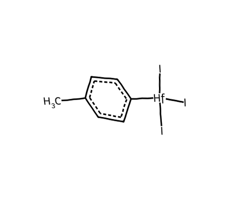 Cc1cc[c]([Hf]([I])([I])[I])cc1